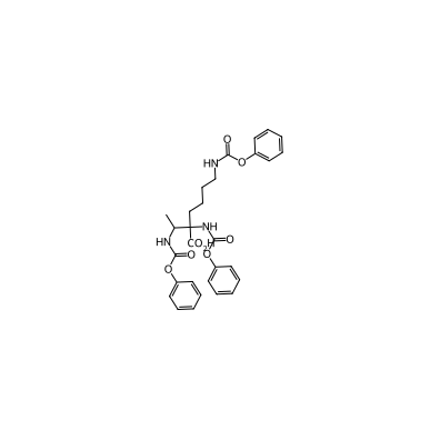 CC(NC(=O)Oc1ccccc1)C(CCCCNC(=O)Oc1ccccc1)(NC(=O)Oc1ccccc1)C(=O)O